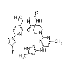 Cc1cc(Nc2cc(C)[nH]n2)nc(N2CCC3(CC2)NC(=O)CN(C(C)c2ccc(-n4cc(F)cn4)nc2)C3=O)n1